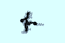 CCNC(=O)NC[C@@H](C[C@H](O)[C@H](CC1CCCCC1)NC(=O)C(Cc1cncn1C(=O)CCc1ccc(OC)cc1)NOC(=O)N1CCC(NC(=O)OC(C)(C)C)CC1)C(C)C